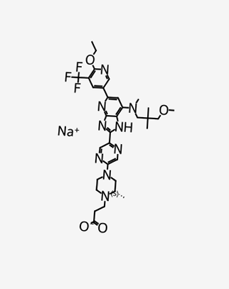 CCOc1ncc(-c2cc(N(C)CC(C)(C)COC)c3[nH]c(-c4cnc(N5CCN(CCC(=O)[O-])[C@@H](C)C5)cn4)nc3n2)cc1C(F)(F)F.[Na+]